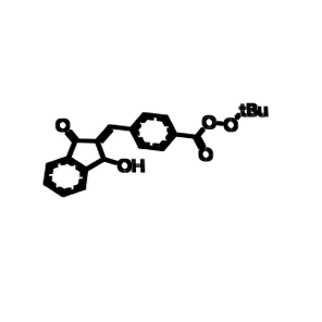 CC(C)(C)OOC(=O)c1ccc(C=C2C(=O)c3ccccc3C2O)cc1